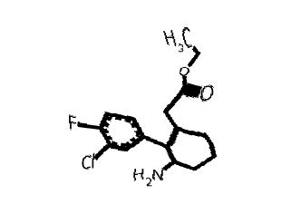 CCOC(=O)CC1CCCC(N)C1c1ccc(F)c(Cl)c1